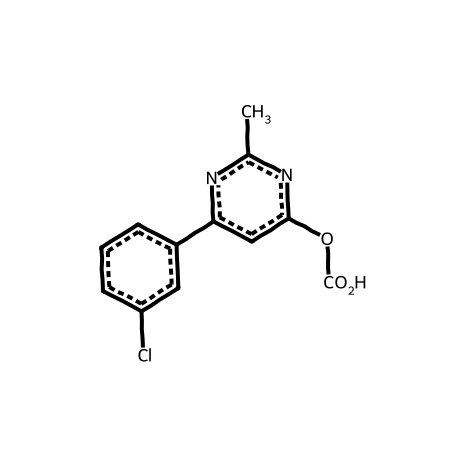 Cc1nc(OC(=O)O)cc(-c2cccc(Cl)c2)n1